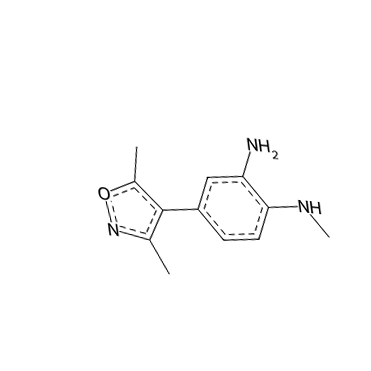 CNc1ccc(-c2c(C)noc2C)cc1N